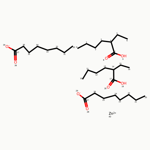 CCCCC(CC)C(=O)O.CCCCC(CC)C(=O)O.CCCCCCCC(=O)[O-].CCCCCCCC(=O)[O-].[Zn+2]